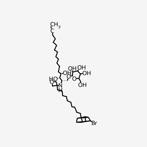 CCCCCCCCCCCCCC[C@@H](O)[C@@H](O)[C@H](COC1OC(CO)C(O)C(O)C1O)NC1(CCCCCCCCCCC23C4C5C2C2C3C4C52Br)COC1